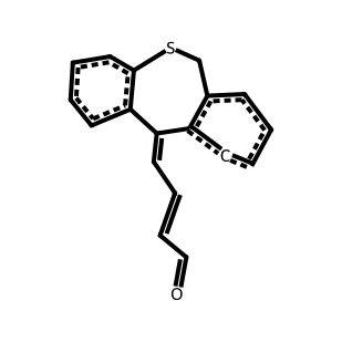 O=C/C=C/C=C1\c2ccccc2CSc2ccccc21